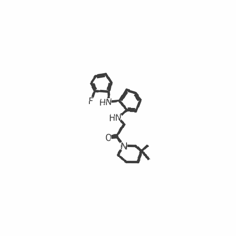 CC1(C)CCCN(C(=O)CNc2ccccc2Nc2ccccc2F)C1